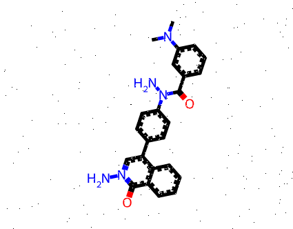 CN(C)c1cccc(C(=O)N(N)c2ccc(-c3cn(N)c(=O)c4ccccc34)cc2)c1